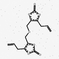 C=CCc1oc(=O)oc1COCc1oc(=O)oc1CC=C